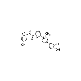 C[C@@H]1CN(c2ccc(O)c(Cl)c2)CCN1c1cccc(C(=O)NC2C3CC4CC2CC(O)(C4)C3)n1